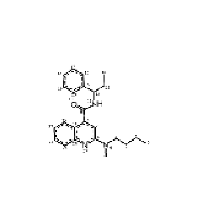 CCCCN(C)c1cc(C(=O)NC(CC)c2ccccc2)c2ccccc2n1